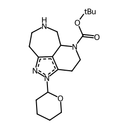 CC(C)(C)OC(=O)N1CCc2c3c(nn2C2CCCCO2)CCNCC31